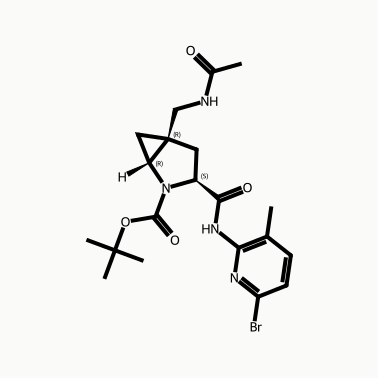 CC(=O)NC[C@@]12C[C@@H](C(=O)Nc3nc(Br)ccc3C)N(C(=O)OC(C)(C)C)[C@@H]1C2